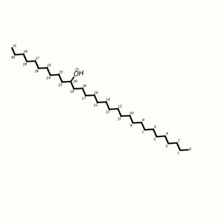 CCCCCCCCCCCCCCCCCCCCC(O)CCCCCCCCCC